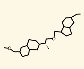 CCC1CCC2C(COC[C@H](C)C3CCC4CC(COC)CCC4C3)CCC2C1